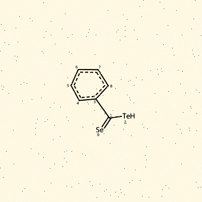 [Se]=C([TeH])c1ccccc1